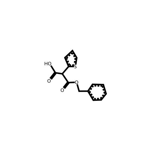 O=C(O)C(C(=O)OCc1ccccc1)c1cccs1